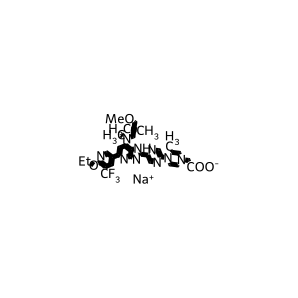 CCOc1ncc(-c2cc(N(C)CC(C)(C)COC)c3[nH]c(-c4cnc(N5CCN(CC(=O)[O-])C[C@H]5C)cn4)nc3n2)cc1C(F)(F)F.[Na+]